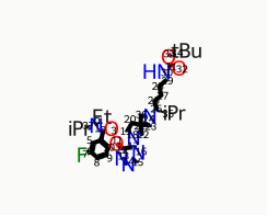 CCN(C(=O)c1cc(F)ccc1Oc1nncnc1N1CCC2(C1)CN([C@@H](CCCCNC(=O)OC(C)(C)C)C(C)C)C2)C(C)C